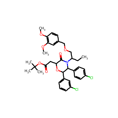 CCC(COCc1ccc(OC)c(OC)c1)N1C(=O)C(CC(=O)OC(C)(C)C)OC(c2cccc(Cl)c2)C1c1ccc(Cl)cc1